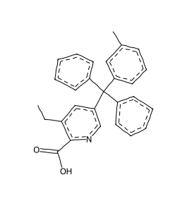 CCc1cc(C(c2ccccc2)(c2ccccc2)c2cccc(C)c2)cnc1C(=O)O